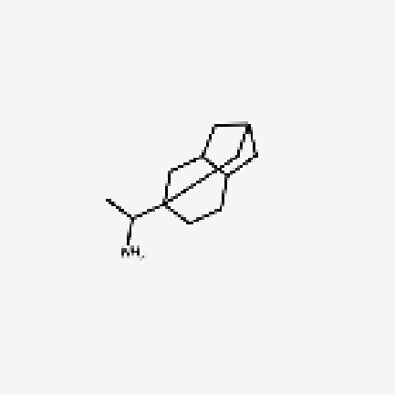 CC(N)C12CCC3CC(CC3C1)C2